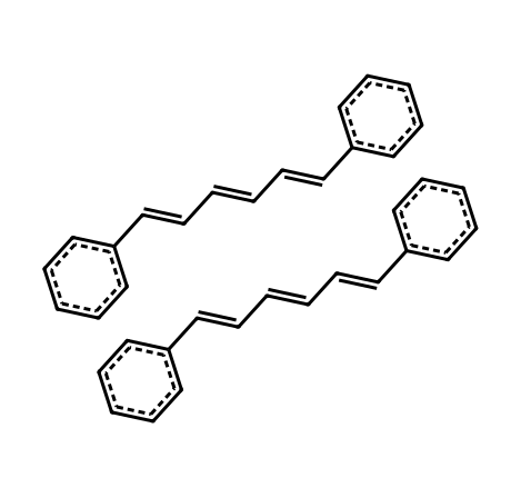 C(=CC=Cc1ccccc1)C=Cc1ccccc1.C(=CC=Cc1ccccc1)C=Cc1ccccc1